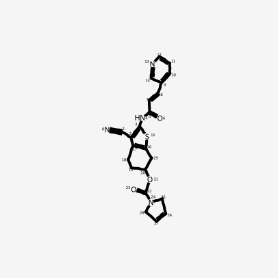 N#Cc1c(NC(=O)C=Cc2cccnc2)sc2c1CCC(OC(=O)N1CC=CC1)C2